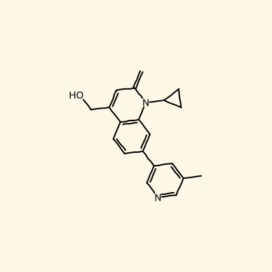 C=C1C=C(CO)c2ccc(-c3cncc(C)c3)cc2N1C1CC1